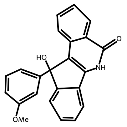 COc1cccc(C2(O)c3ccccc3-c3[nH]c(=O)c4ccccc4c32)c1